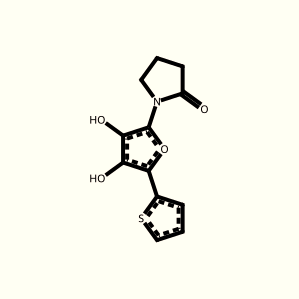 O=C1CCCN1c1oc(-c2cccs2)c(O)c1O